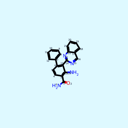 NC(=O)c1ccc(-c2ccccc2)c(-c2ncc3ccccc3n2)c1N